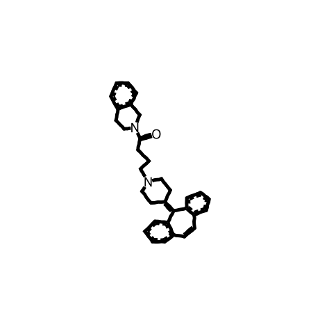 O=C(CCCN1CCC(=C2c3ccccc3C=Cc3ccccc32)CC1)N1CCc2ccccc2C1